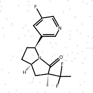 CC(F)(F)[C@@]1(C)C[C@H]2CC[C@@H](c3cncc(F)c3)N2C1=O